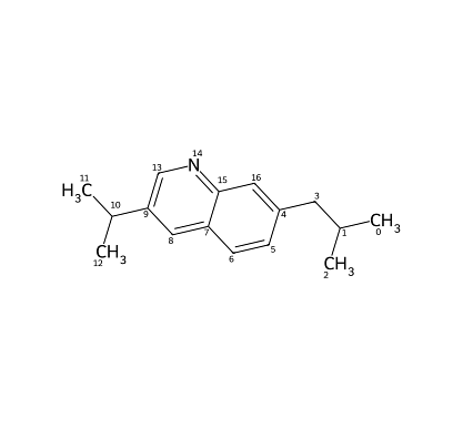 CC(C)Cc1ccc2cc(C(C)C)cnc2c1